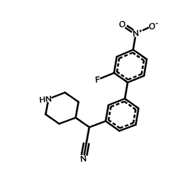 N#CC(c1cccc(-c2ccc([N+](=O)[O-])cc2F)c1)C1CCNCC1